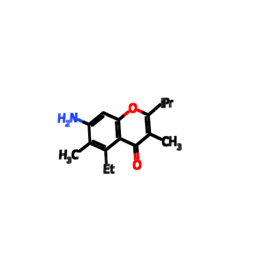 CCc1c(C)c(N)cc2oc(C(C)C)c(C)c(=O)c12